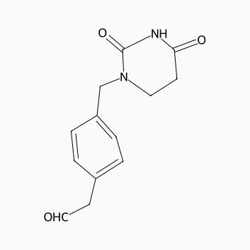 O=CCc1ccc(CN2CCC(=O)NC2=O)cc1